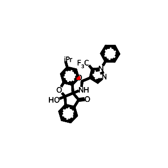 CC(C)c1ccc2c(c1)OC1(O)c3ccccc3C(=O)C21NC(=O)c1cnn(-c2ccccc2)c1C(F)(F)F